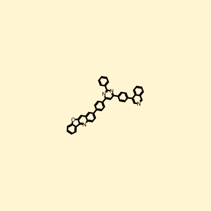 c1ccc(-c2nc(-c3ccc(-c4ccc5nc6c(cc5c4)oc4ccccc46)cc3)cc(-c3ccc(-c4cncc5ccccc45)cc3)n2)cc1